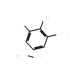 CCCCCCO.Cc1c(C(=O)O)cccc1C(=O)O